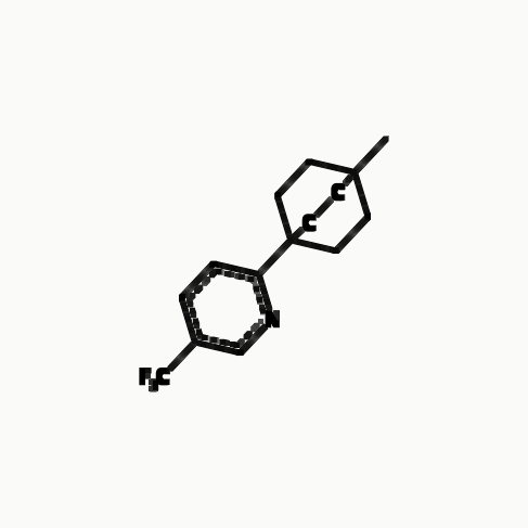 CC12CCC(c3ccc(C(F)(F)F)cn3)(CC1)CC2